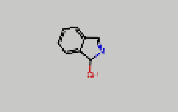 OC1N=Cc2ccccc21